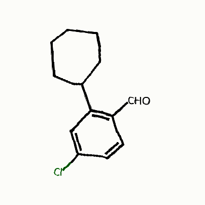 O=Cc1ccc(Cl)cc1C1CCCCC1